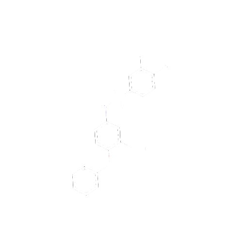 Nc1ccc(S(=O)(=O)Nc2ccc(Oc3ccccc3)c(S(=O)(=O)O)c2)cc1C(F)(F)F